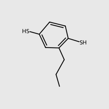 CCCc1cc(S)ccc1S